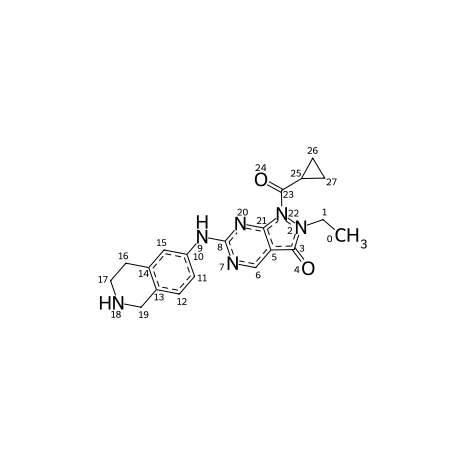 CCn1c(=O)c2cnc(Nc3ccc4c(c3)CCNC4)nc2n1C(=O)C1CC1